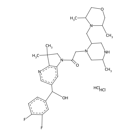 CC1CN(CC(=O)N2CC(C)(C)c3ncc(C(O)c4ccc(F)c(F)c4)cc32)C(CN2C(C)COCC2C)CN1.Cl.Cl